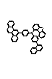 c1ccc2c(-c3ccc(N(c4ccc(-c5cc6c7ccccc7ccc6c6ccccc56)cc4)c4cccc5sc6ccccc6c45)cc3)cccc2c1